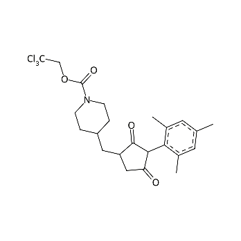 Cc1cc(C)c(C2C(=O)CC(CC3CCN(C(=O)OCC(Cl)(Cl)Cl)CC3)C2=O)c(C)c1